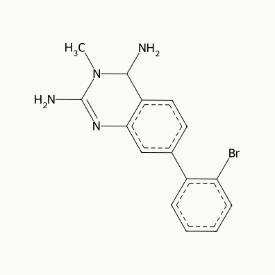 CN1C(N)=Nc2cc(-c3ccccc3Br)ccc2C1N